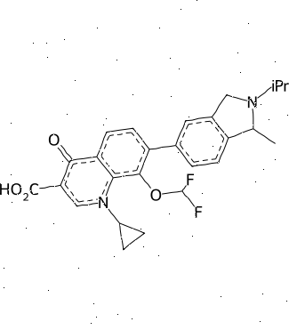 CC(C)N1Cc2cc(-c3ccc4c(=O)c(C(=O)O)cn(C5CC5)c4c3OC(F)F)ccc2C1C